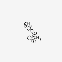 COc1ccc(OCC(=O)N(C)[C@@H]2CCCC[C@H]2N2CCCC2)cc1